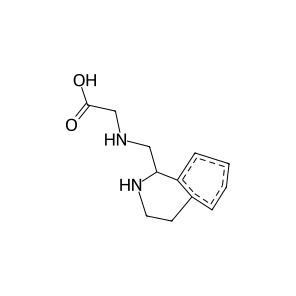 O=C(O)CNCC1NCCc2ccccc21